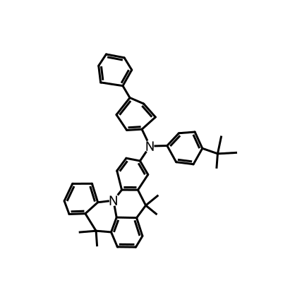 CC(C)(C)c1ccc(N(c2ccc(-c3ccccc3)cc2)c2ccc3c(c2)C(C)(C)c2cccc4c2N3c2ccccc2C4(C)C)cc1